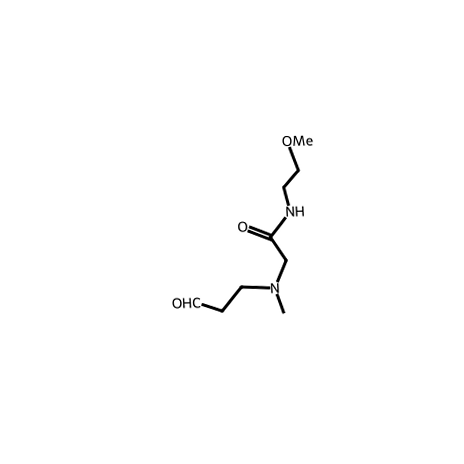 COCCNC(=O)CN(C)CCC=O